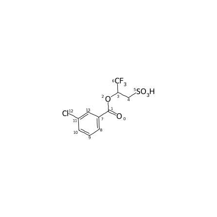 O=C(OC(CS(=O)(=O)O)C(F)(F)F)c1cccc(Cl)c1